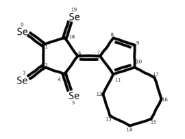 [Se]=C1C(=[Se])C(=[Se])C(=C2C=CC3=C2CCCCCC3)C1=[Se]